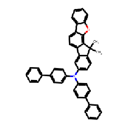 CC1(C)c2ccc(N(c3ccc(-c4ccccc4)cc3)c3ccc(-c4ccccc4)cc3)cc2-c2ccc3c(oc4ccccc43)c21